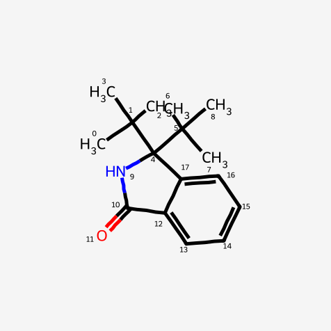 CC(C)(C)C1(C(C)(C)C)NC(=O)c2ccccc21